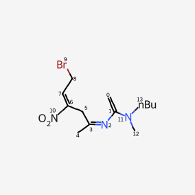 C=C(/N=C(/C)C/C(=C\CBr)[N+](=O)[O-])N(C)CCCC